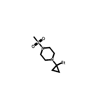 CCC1(N2CCN(S(C)(=O)=O)CC2)CC1